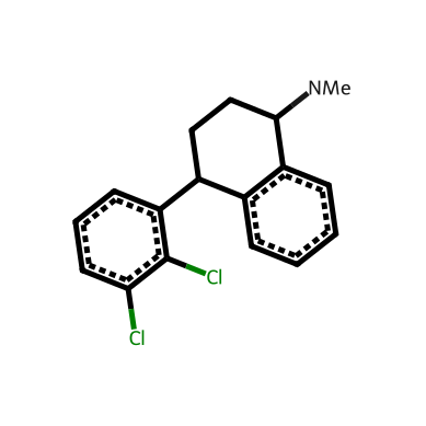 CNC1CCC(c2cccc(Cl)c2Cl)c2ccccc21